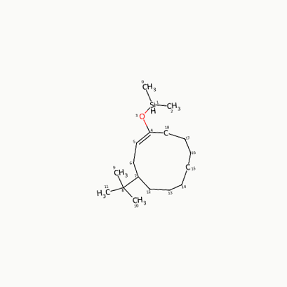 C[SiH](C)O/C1=C/CC(C(C)(C)C)CCCCCCC1